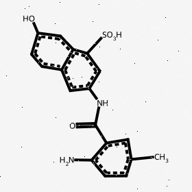 Cc1ccc(N)c(C(=O)Nc2cc(S(=O)(=O)O)c3cc(O)ccc3c2)c1